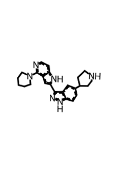 c1cc2[nH]c(-c3n[nH]c4ccc(C5CCNCC5)cc34)cc2c(N2CCCCC2)n1